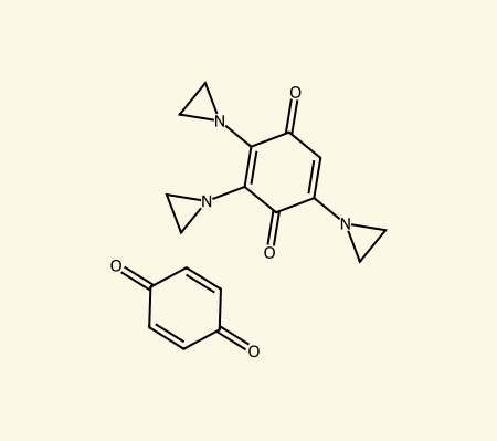 O=C1C=C(N2CC2)C(=O)C(N2CC2)=C1N1CC1.O=C1C=CC(=O)C=C1